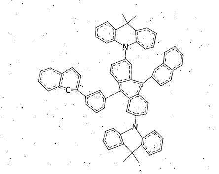 CC1(C)c2ccccc2N(c2ccc3c(-c4ccc5ccccc5c4)c4cc(N5c6ccccc6C(C)(C)c6ccccc65)ccc4c(-c4cccc(-c5ccc6ccccc6c5)c4)c3c2)c2ccccc21